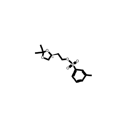 Cc1cccc(S(=O)(=O)OCC[C@H]2COC(C)(C)O2)c1